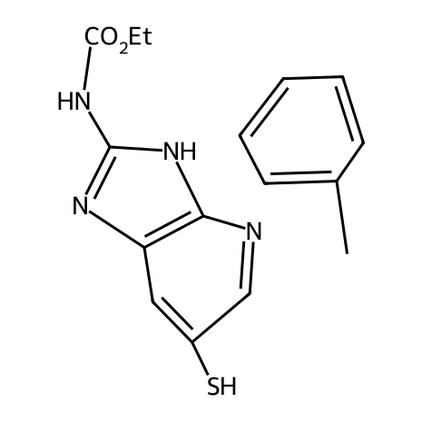 CCOC(=O)Nc1nc2cc(S)cnc2[nH]1.Cc1ccccc1